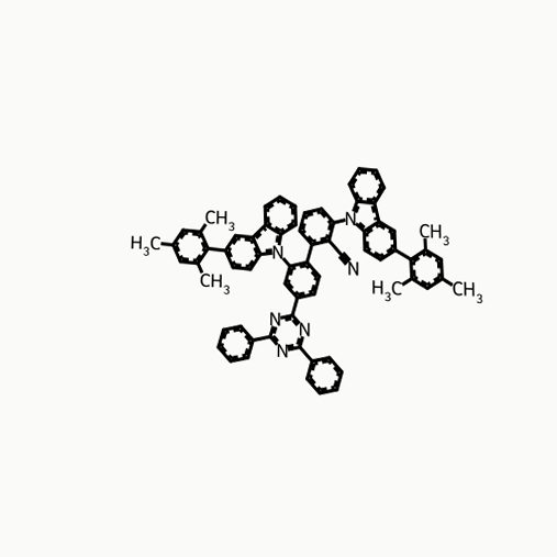 Cc1cc(C)c(-c2ccc3c(c2)c2ccccc2n3-c2cc(-c3nc(-c4ccccc4)nc(-c4ccccc4)n3)ccc2-c2cccc(-n3c4ccccc4c4cc(-c5c(C)cc(C)cc5C)ccc43)c2C#N)c(C)c1